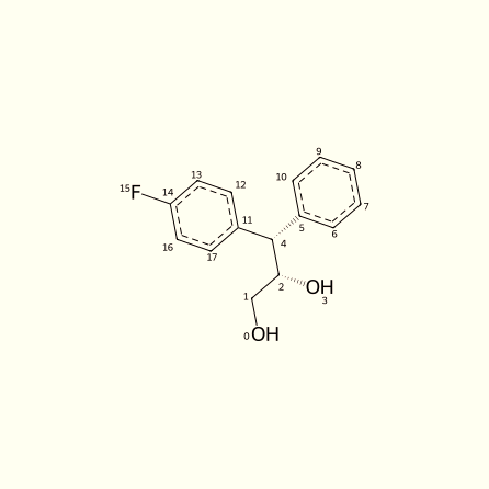 OC[C@@H](O)[C@@H](c1ccccc1)c1ccc(F)cc1